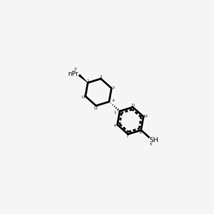 CCC[C@H]1CC[C@H](c2ccc(S)cc2)CC1